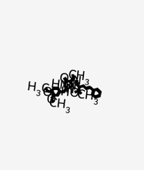 COc1ccc(Cc2nn3c(C(CC=Cc4ccccc4)C(C)O)nc(C)c3c(=O)[nH]2)cc1OC